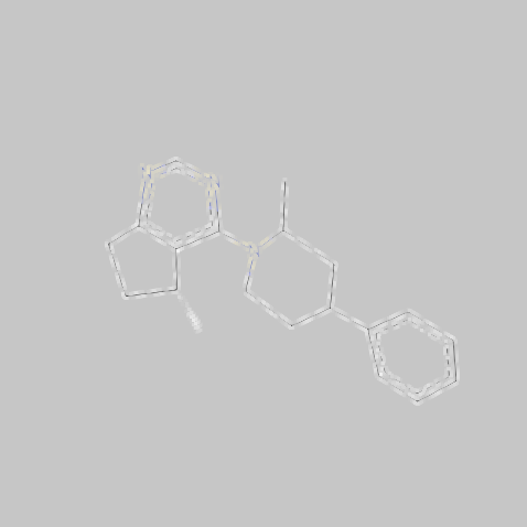 CC1CC(c2ccccc2)CCN1c1ncnc2c1[C@H](C)CC2